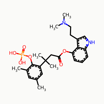 Cc1cc(C)c(OP(=O)(O)O)c(C(C)(C)CC(=O)Oc2cccc3[nH]cc(CCN(C)C)c23)c1